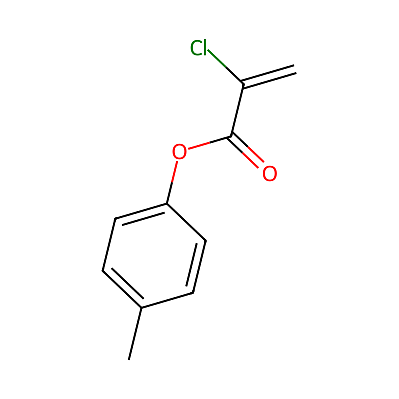 C=C(Cl)C(=O)Oc1ccc(C)cc1